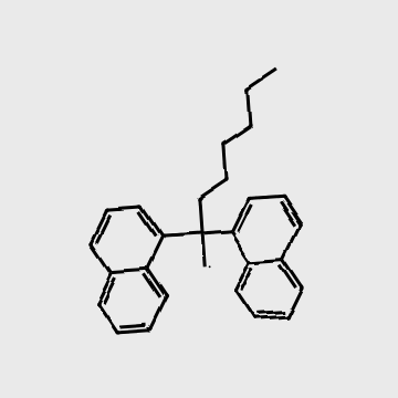 [CH2]C(CCCCCC)(c1cccc2ccccc12)c1cccc2ccccc12